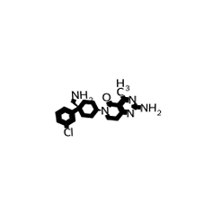 Cc1nc(N)nc2c1C(=O)N([C@H]1CC[C@@](CN)(c3cccc(Cl)c3)CC1)CC2